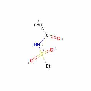 CCCCC(=O)NS(=O)(=O)CC